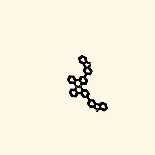 c1ccc2c(c1)B1c3ccccc3-c3cc(-c4ccc5sc6ccccc6c5c4)ccc3N1c1ccc(-c3ccc4sc5ccccc5c4c3)cc1-2